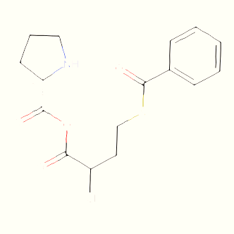 CC(CCSC(=O)c1ccccc1)C(=O)OC(=O)[C@@H]1CCCN1